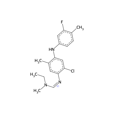 CCN(C)/C=N\c1cc(C)c(Nc2ccc(C)c(F)c2)cc1Cl